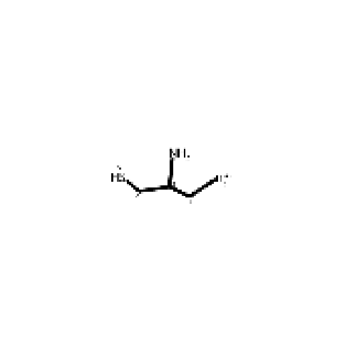 CCCCC(N)CS